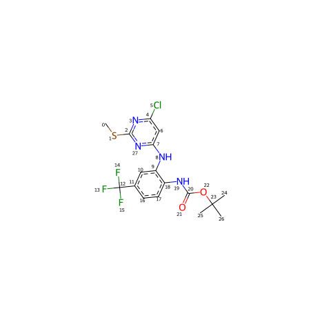 CSc1nc(Cl)cc(Nc2cc(C(F)(F)F)ccc2NC(=O)OC(C)(C)C)n1